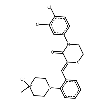 C[N+]1([O-])CCN(c2ccccc2C=C2SCCN(c3ccc(Cl)c(Cl)c3)C2=O)CC1